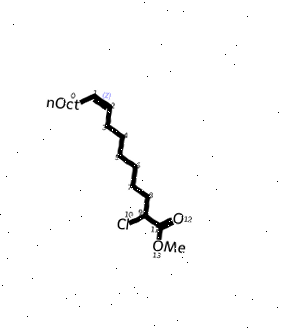 CCCCCCCC/C=C\CCCCCCC(Cl)C(=O)OC